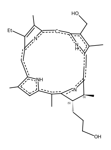 CCC1=C(C)c2cc3[nH]c(cc4nc(c(C)c5cc(C)c(cc1n2)[nH]5)[C@@H](CCCO)[C@@H]4C)c(C)c3CO